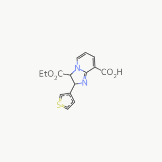 CCOC(=O)C1C(c2ccsc2)N=C2C(C(=O)O)=CC=CN21